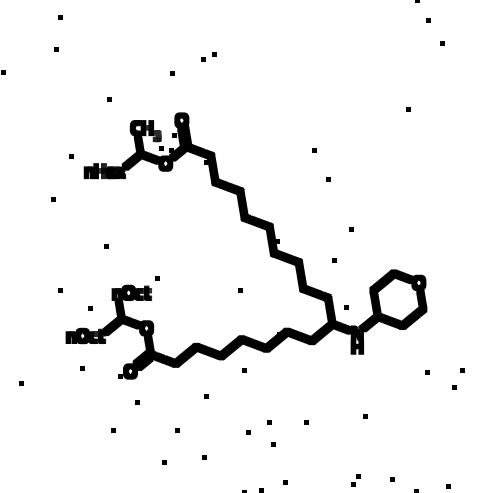 CCCCCCCCC(CCCCCCCC)OC(=O)CCCCCCCC(CCCCCCCCCC(=O)OC(C)CCCCCC)NC1CCOCC1